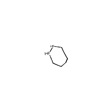 C1CCPPC1